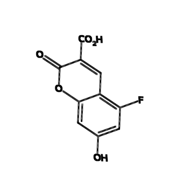 O=C(O)c1cc2c(F)cc(O)cc2oc1=O